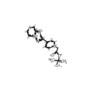 CC(C)(C)OC(=O)C[n+]1ccc(-c2nc3cnccn3n2)cc1